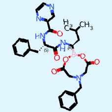 CC(C)C[C@H](NC(=O)[C@H](Cc1ccccc1)NC(=O)c1cnccn1)B1OC(=O)CN(Cc2ccccc2)CC(=O)O1